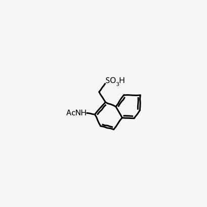 CC(=O)Nc1ccc2ccccc2c1CS(=O)(=O)O